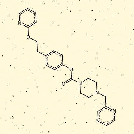 O=C(Oc1ccc(CCOc2ccccn2)cc1)N1CCN(Cc2cnccn2)CC1